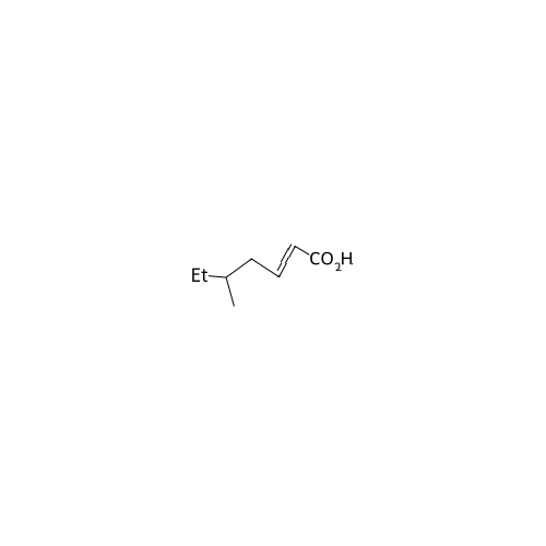 [CH2]CC(C)CC=CC(=O)O